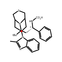 Cc1nc2ccccc2n1C1CC2CSCC(C1)N2C(C[C@H](NC(=O)O)c1ccccc1)C(C)(C)C